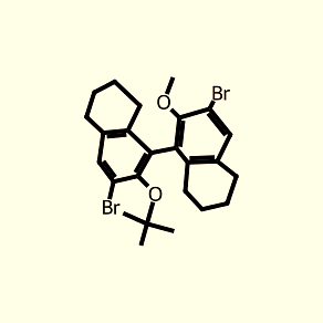 COc1c(Br)cc2c(c1-c1c3c(cc(Br)c1OC(C)(C)C)CCCC3)CCCC2